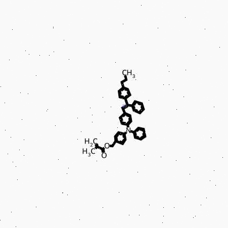 C=C(C)C(=O)OCc1ccc(N(c2ccccc2)c2ccc(/C=C(\c3ccccc3)c3ccc(CCC)cc3)cc2)cc1